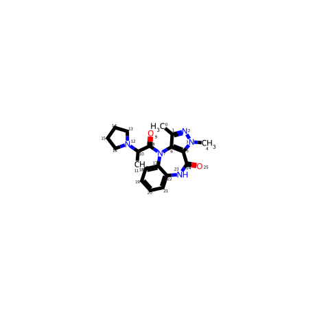 Cc1nn(C)c2c1N(C(=O)C(C)N1CCCC1)c1ccccc1NC2=O